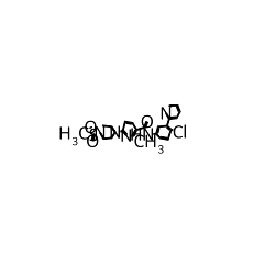 Cc1nc(N2CCN(S(C)(=O)=O)CC2)ccc1C(=O)Nc1ccc(Cl)c(-c2ccccn2)c1